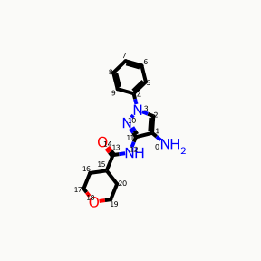 Nc1cn(-c2ccccc2)nc1NC(=O)C1CCOCC1